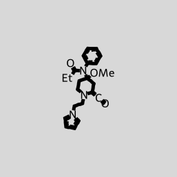 CCC(=O)N(c1ccccc1)C1(OC)CCN(CCn2cccc2)C(=C=O)C1